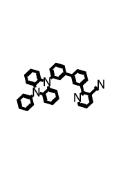 N#Cc1cccnc1-c1cccc(-c2cccc(N3c4ccccc4N(c4ccccc4)c4ccccc43)c2)c1